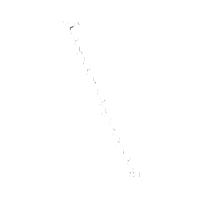 NCCOCCOCCOCCOCCOCCOCCOCCOCCOCC(=O)O